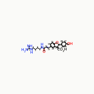 N=C(N)NCCCCNC(=O)/C=C/c1ccc2c(c1)[C@H](C(=O)O)[C@@H](c1ccc(O)cc1)O2